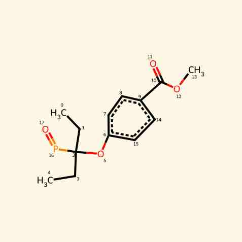 CCC(CC)(Oc1ccc(C(=O)OC)cc1)P=O